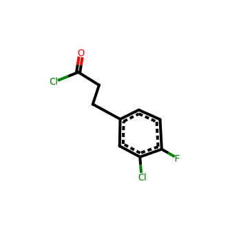 O=C(Cl)CCc1ccc(F)c(Cl)c1